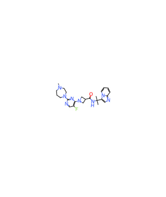 CN1CCCN(c2ncc(F)c(N3CC(C(=O)NC(C)(C)c4cnc5ccccn45)C3)n2)CC1